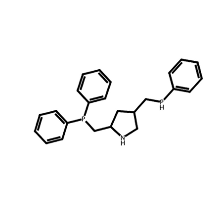 c1ccc(PCC2CNC(CP(c3ccccc3)c3ccccc3)C2)cc1